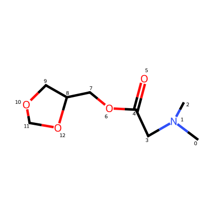 CN(C)CC(=O)OCC1COCO1